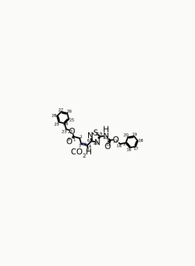 O=C(C/C=C(/C(=O)O)c1nsc(NC(=O)OCc2ccccc2)n1)OCc1ccccc1